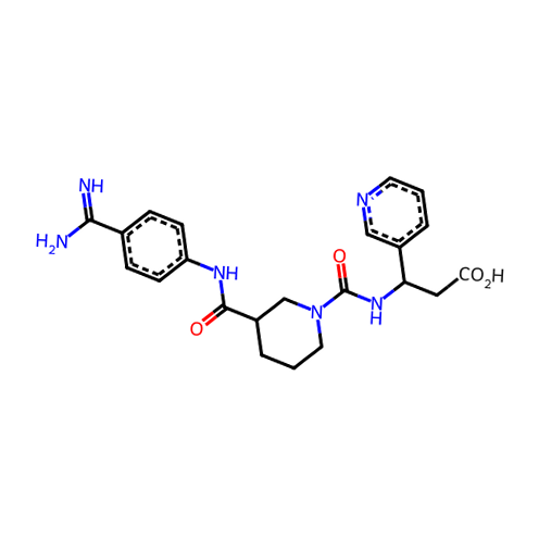 N=C(N)c1ccc(NC(=O)C2CCCN(C(=O)NC(CC(=O)O)c3cccnc3)C2)cc1